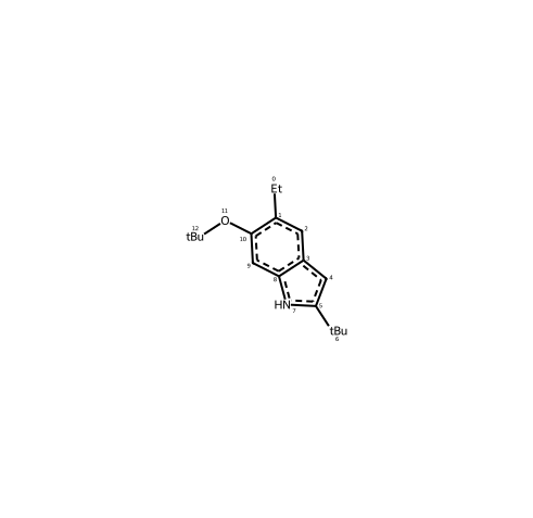 CCc1cc2cc(C(C)(C)C)[nH]c2cc1OC(C)(C)C